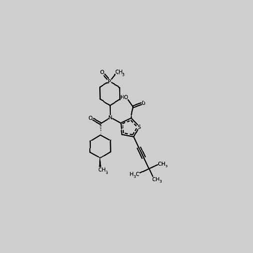 CC(C)(C)C#Cc1cc(N(C(=O)[C@H]2CC[C@H](C)CC2)C2CCP(C)(=O)CC2)c(C(=O)O)s1